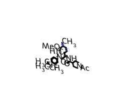 C=C(/C=C\C(=C/C)COC)[C@@H](NC(=O)C1CCN(C(C)=O)CC1)C(=O)Nc1ccc([Si](C)(C)C)c(F)c1